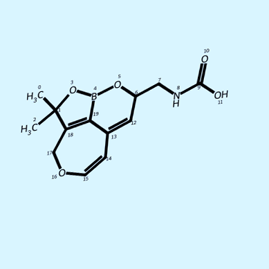 CC1(C)OB2OC(CNC(=O)O)C=C3C=COCC1=C23